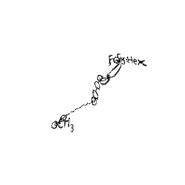 CCCCCC[C@H](OC(=O)c1ccc(OC(=O)c2ccc(-c3ccc(OCCCCCCCCCCCOCC4(C)COC4)cc3)cc2)cc1)C(F)(F)F